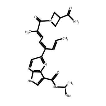 C/C=C/C(=C\C=C(/C)C(=O)N1CC(C(N)=O)C1)c1cnc2[nH]cc(C(=O)N[C@@H](C)C(C)(C)C)c2n1